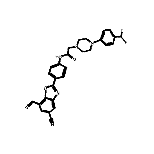 N#Cc1cc(C=O)c2oc(-c3ccc(NC(=O)CN4CCN(c5ccc(C(F)F)cc5)CC4)cc3)nc2c1